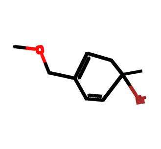 COCC1=CCC(C)(Br)C=C1